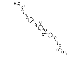 C=CC(=O)OCCCOc1ccc(/C=N/c2ccc(OC(=O)c3ccc(OCCCOC(=O)C=C)cc3)cc2Cl)cc1